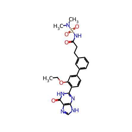 CCOc1cc(-c2cccc(CCC(=O)NS(=O)(=O)N(C)C)c2)ccc1-c1nc2[nH]cnc2c(=O)[nH]1